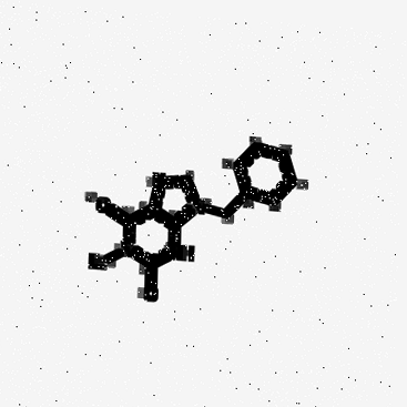 CCn1c(=O)[nH]c2c(ncn2Cc2ccccc2)c1=O